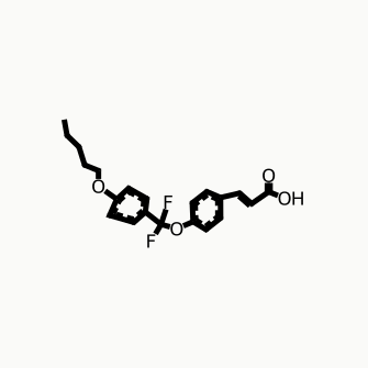 CCCCCOc1ccc(C(F)(F)Oc2ccc(C=CC(=O)O)cc2)cc1